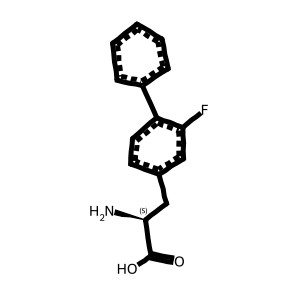 N[C@@H](Cc1ccc(-c2ccccc2)c(F)c1)C(=O)O